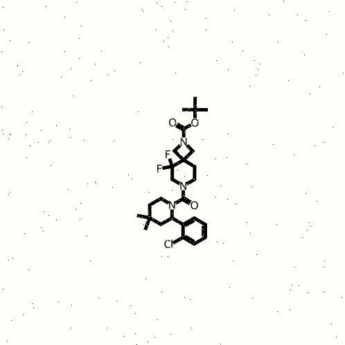 CC1(C)CCN(C(=O)N2CCC3(CN(C(=O)OC(C)(C)C)C3)C(F)(F)C2)C(c2ccccc2Cl)C1